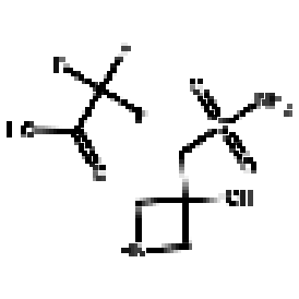 NS(=O)(=O)CC1(O)CNC1.O=C(O)C(F)(F)F